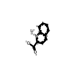 O=C([O-])c1ccc2ccccc2n1.[Li+]